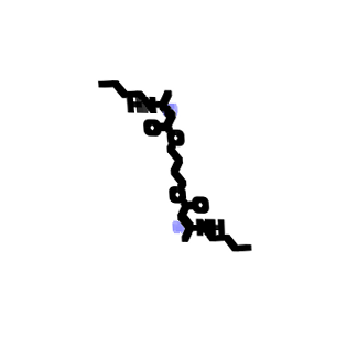 CCCCN/C(C)=C\C(=O)OCCCCOC(=O)/C=C(/C)NCCCC